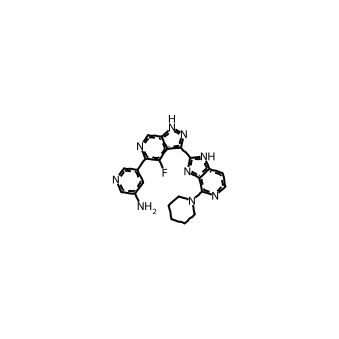 Nc1cncc(-c2ncc3[nH]nc(-c4nc5c(N6CCCCC6)nccc5[nH]4)c3c2F)c1